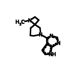 CN1CCC12CCCN(c1ncnc3[nH]ccc13)C2